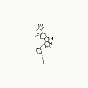 CCCCc1cccc(Sc2nc(C)nc3[nH]c4cc(-c5c(C)noc5C)c(OC)cc4c23)c1